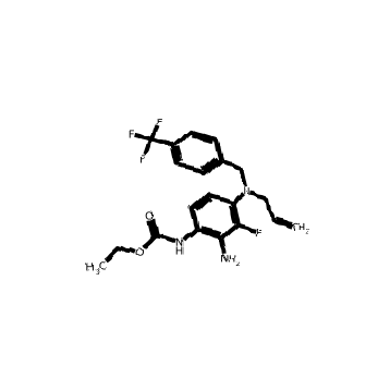 C=CCN(Cc1ccc(C(F)(F)F)cc1)c1ccc(NC(=O)OCC)c(N)c1F